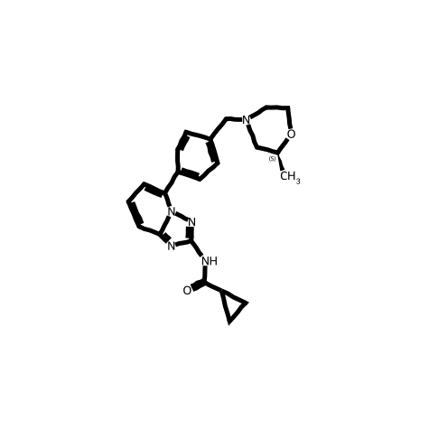 C[C@H]1CN(Cc2ccc(-c3cccc4nc(NC(=O)C5CC5)nn34)cc2)CCO1